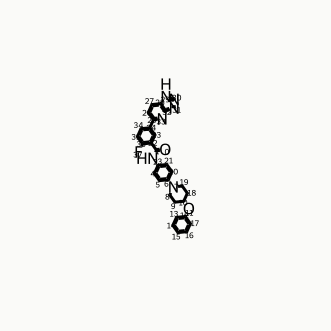 O=C(Nc1ccc(N2CCC(Oc3ccccc3)CC2)cc1)c1cc(-c2ccc3[nH]nnc3n2)ccc1F